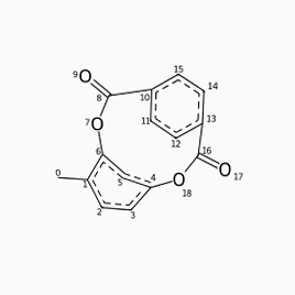 Cc1ccc2cc1OC(=O)c1ccc(cc1)C(=O)O2